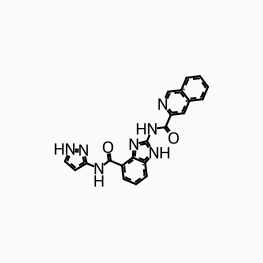 O=C(Nc1nc2c(C(=O)Nc3cc[nH]n3)cccc2[nH]1)c1cc2ccccc2cn1